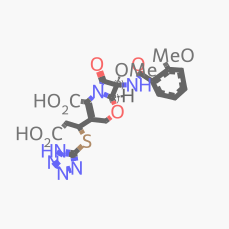 COc1ccccc1C(=O)N[C@]1(OC)C(=O)N2C(C(=O)O)=C(C(CC(=O)O)Sc3nnn[nH]3)CO[C@@H]21